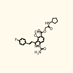 COc1c(C(=O)OCC(=O)NC2CCCC2)ccc2c1c(C=Cc1ccc(F)cc1)nn2C(N)=O